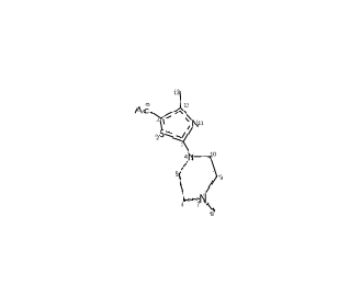 CC(=O)c1sc(N2CCN(C)CC2)nc1C